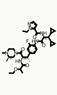 CCOC(C)C(=O)N[C@@H](C(=O)N1CCN(C)[C@H](C)C1)[C@@H](C)c1ccc(NC(=O)[C@@H](NC(=O)c2ccnn2CC)C(C2CC2)C2CC2)c(F)c1